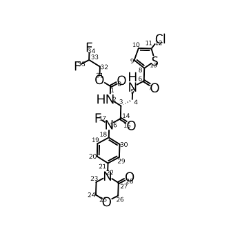 O=C(N[C@H](CNC(=O)c1ccc(Cl)s1)C(=O)N(F)c1ccc(N2CCOCC2=O)cc1)OCC(F)F